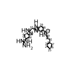 N=C(N)Nc1ccc2[nH]c(Cc3nc4cc(C(=O)NCCCc5ccccc5)ccc4[nH]3)nc2c1